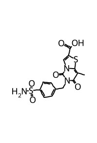 Cc1c(=O)n(Cc2ccc(S(N)(=O)=O)cc2)c(=O)n2cc(C(=O)O)sc12